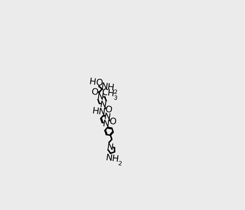 CC(N)(CO)C(=O)N1CCN(C(=O)Nc2ccn(-c3ccc(CCN4CCC(N)C4)cc3)c(=O)n2)CC1